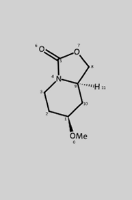 CO[C@H]1CCN2C(=O)OC[C@H]2C1